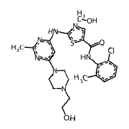 CO.Cc1nc(Nc2ncc(C(=O)Nc3c(C)cccc3Cl)s2)cc(N2CCN(CCO)CC2)n1